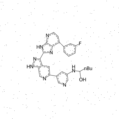 CCCCC(O)Nc1cncc(-c2cc3c(-c4nc5c(-c6cccc(F)c6)ccnc5[nH]4)n[nH]c3cn2)c1